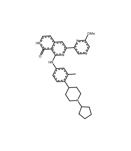 COc1cncc(-c2cc3cc[nH]c(=O)c3c(Nc3ccc(C4CCN(C5CCCC5)CC4)c(C)c3)n2)n1